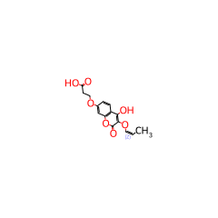 C/C=C\Oc1c(O)c2ccc(OCCC(=O)O)cc2oc1=O